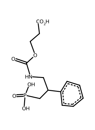 O=C(O)CCOC(=O)NCC(CP(=O)(O)O)c1ccccc1